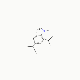 CC(C)c1cc(C(C)C)c2c(ccn2C)c1